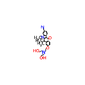 Cn1c2c(c3ccc(C#N)cc31)C(=O)c1ccc(OCCN(CCO)CCO)cc1C2(C)C